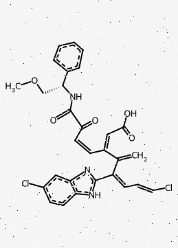 C=C(C(/C=C\C(=O)C(=O)N[C@H](COC)c1ccccc1)=C\C(=O)O)/C(=C\C=C\Cl)c1nc2cc(Cl)ccc2[nH]1